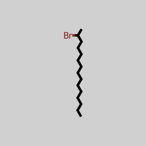 CCCCCCCCCCCCC[C](C)Br